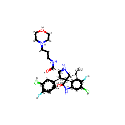 CC(C)(C)C[C@H]1N[C@@H](C(=O)NCCCN2CCOCC2)[C@H](c2ccc(F)c(Cl)c2)[C@@]12C(=O)Nc1cc(Cl)c(F)cc12